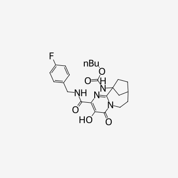 CCCCOC(=O)NC12CCC(CCn3c1nc(C(=O)NCc1ccc(F)cc1)c(O)c3=O)C2